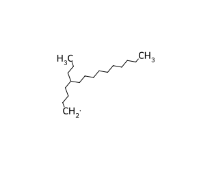 [CH2]CCCC(CCC)CCCCCCCCCC